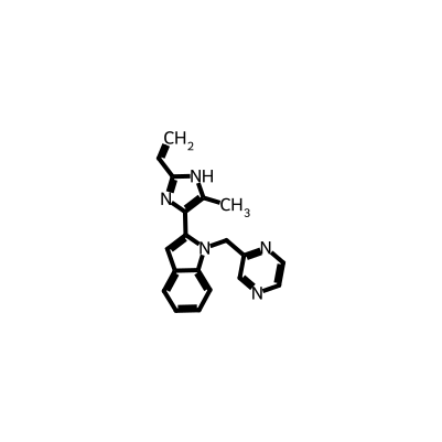 C=Cc1nc(-c2cc3ccccc3n2Cc2cnccn2)c(C)[nH]1